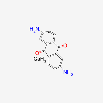 Nc1ccc2c(c1)C(=O)c1ccc(N)cc1C2=O.[GaH3]